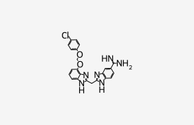 N=C(N)c1ccc2[nH]c(Cc3nc4c(OCOc5ccc(Cl)cc5)cccc4[nH]3)nc2c1